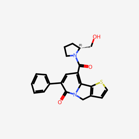 O=C(c1cc(-c2ccccc2)c(=O)n2c1-c1sccc1C2)N1CCC[C@@H]1CO